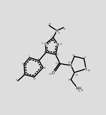 Cc1ccc(-c2sc(N(C)C)nc2C(=O)N2CCSC2CN)cc1